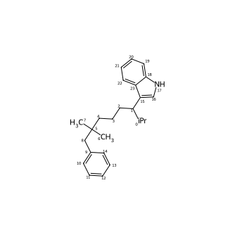 CC(C)C(CCCC(C)(C)Cc1ccccc1)c1c[nH]c2ccccc12